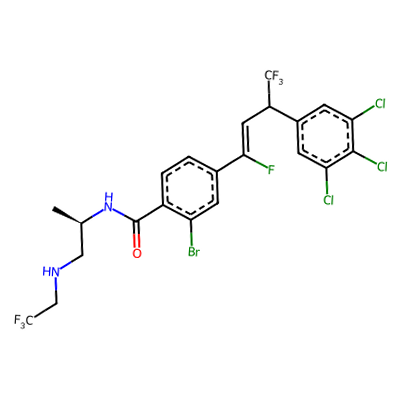 C[C@H](CNCC(F)(F)F)NC(=O)c1ccc(/C(F)=C/C(c2cc(Cl)c(Cl)c(Cl)c2)C(F)(F)F)cc1Br